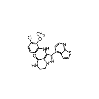 COc1c(Cl)cccc1Nc1c(-c2ccnc3sccc23)nn2c1C(=O)NCC2